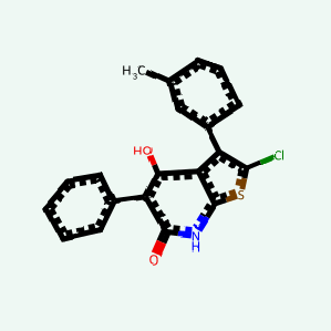 Cc1cccc(-c2c(Cl)sc3[nH]c(=O)c(-c4ccccc4)c(O)c23)c1